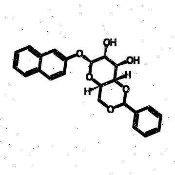 O[C@@H]1[C@@H](O)[C@H](Oc2ccc3ccccc3c2)O[C@@H]2COC(c3ccccc3)O[C@@H]12